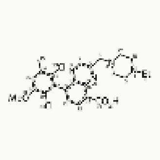 CCN1CCN(Cc2cnc3c(-c4c(Cl)c(C)cc(OC)c4Cl)ccc(C(=O)O)c3n2)CC1